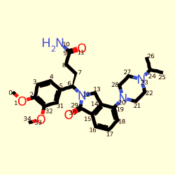 COc1ccc([C@@H](CCC(N)=O)N2Cc3c(cccc3N3CCN(C(C)C)CC3)C2=O)cc1OC